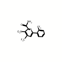 NC(=O)c1nc(-c2ccccc2C(F)(F)F)cc(C(F)(F)F)c1[N+](=O)[O-]